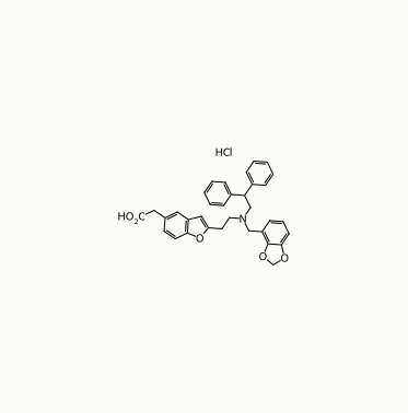 Cl.O=C(O)Cc1ccc2oc(CCN(Cc3cccc4c3OCO4)CC(c3ccccc3)c3ccccc3)cc2c1